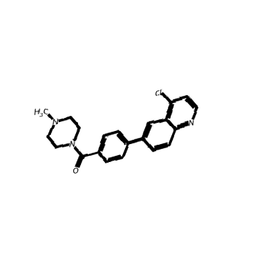 CN1CCN(C(=O)c2ccc(-c3ccc4nccc(Cl)c4c3)cc2)CC1